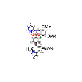 COc1ccc(CN(c2ccncn2)S(=O)(=O)c2cc(F)c(O[C@H]3C[C@@H](OC)C[C@@H]3c3ccnn3C)cc2F)c(OC)c1